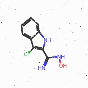 N=C(NO)c1[nH]c2ccccc2c1Cl